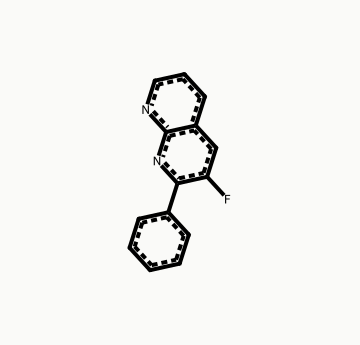 Fc1cc2cccnc2nc1-c1ccccc1